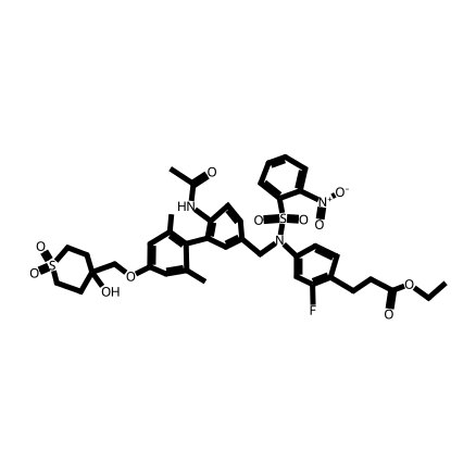 CCOC(=O)CCc1ccc(N(Cc2ccc(NC(C)=O)c(-c3c(C)cc(OCC4(O)CCS(=O)(=O)CC4)cc3C)c2)S(=O)(=O)c2ccccc2[N+](=O)[O-])cc1F